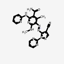 CNc1nc(Nc2ccccn2)c(C(N)=O)c(C)c1/N=N/c1c(C#N)cnn1-c1ncccn1